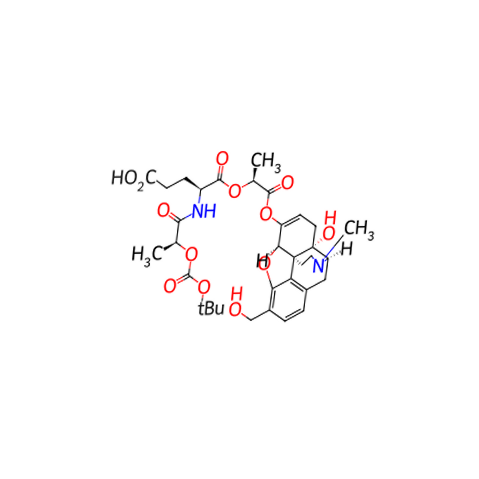 C[C@H](OC(=O)OC(C)(C)C)C(=O)N[C@@H](CCC(=O)O)C(=O)O[C@@H](C)C(=O)OC1=CC[C@@]2(O)[C@H]3Cc4ccc(CO)c5c4[C@@]2(CCN3C)[C@H]1O5